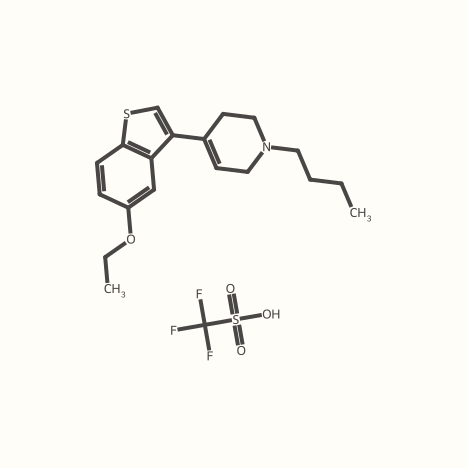 CCCCN1CC=C(c2csc3ccc(OCC)cc23)CC1.O=S(=O)(O)C(F)(F)F